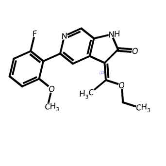 CCO/C(C)=C1\C(=O)Nc2cnc(-c3c(F)cccc3OC)cc21